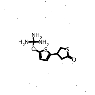 NC(N)(N)Oc1ccc(C2CSC(=O)C2)s1